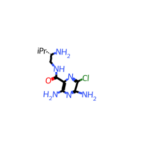 CC(C)[C@H](N)CNC(=O)c1nc(Cl)c(N)nc1N